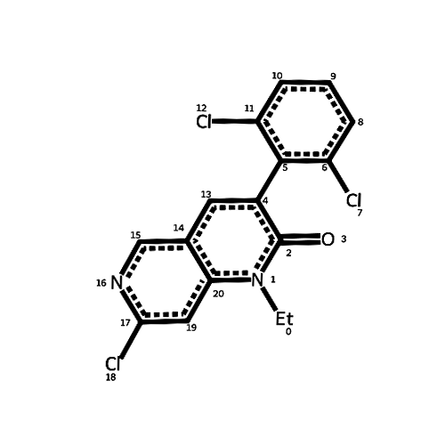 CCn1c(=O)c(-c2c(Cl)cccc2Cl)cc2cnc(Cl)cc21